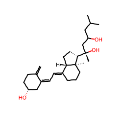 C=C1CC[C@@H](O)C/C1=C/C=C1\CCC[C@@]2(C)[C@H]1CC[C@@H]2[C@@](C)(O)CC(O)CC(C)C